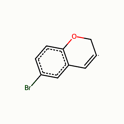 Brc1ccc2c(c1)C=[C]CO2